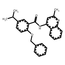 Cc1cc(NC(=O)c2cc(C(C)C)ccc2OCc2ccccc2)c2ccccc2n1